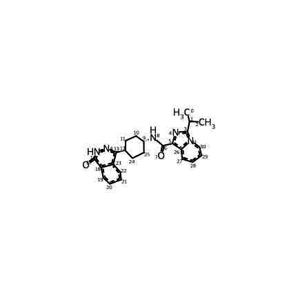 CC(C)c1nc(C(=O)N[C@H]2CC[C@H](c3n[nH]c(=O)c4ccccc43)CC2)c2ccccn12